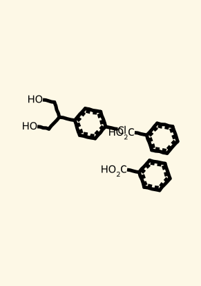 O=C(O)c1ccccc1.O=C(O)c1ccccc1.OCC(CO)c1ccc(Cl)cc1